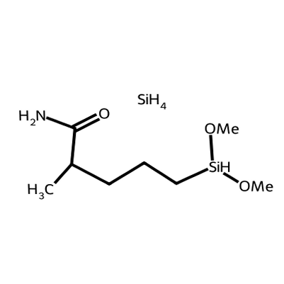 CO[SiH](CCCC(C)C(N)=O)OC.[SiH4]